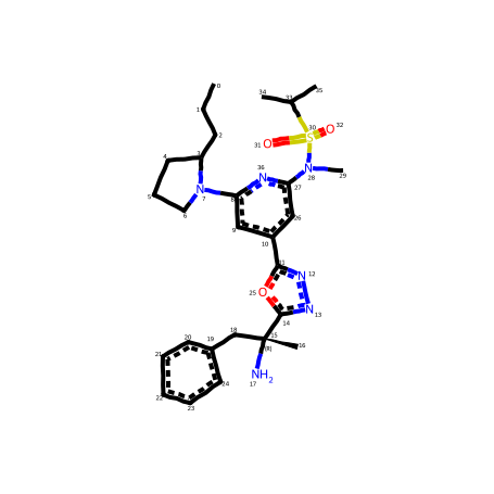 CCCC1CCCN1c1cc(-c2nnc([C@](C)(N)Cc3ccccc3)o2)cc(N(C)S(=O)(=O)C(C)C)n1